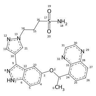 CC(Oc1ccc2[nH]nc(-c3cnn(CCCS(N)(=O)=O)c3)c2c1)c1cccc2nccnc12